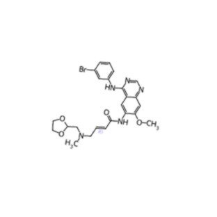 COc1cc2ncnc(Nc3cccc(Br)c3)c2cc1NC(=O)/C=C/CN(C)CC1OCCO1